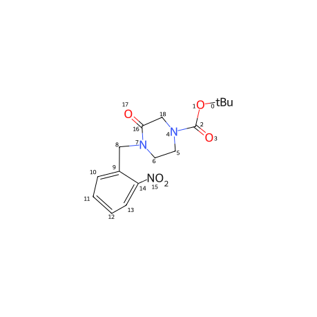 CC(C)(C)OC(=O)N1CCN(Cc2ccccc2[N+](=O)[O-])C(=O)C1